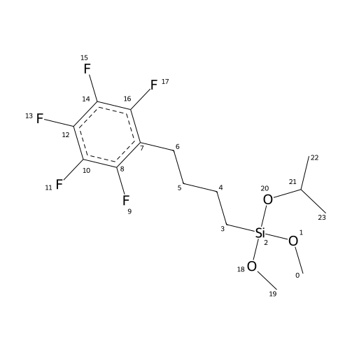 CO[Si](CCCCc1c(F)c(F)c(F)c(F)c1F)(OC)OC(C)C